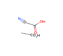 CC(=O)O.N#CC(=O)O